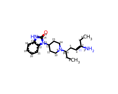 CC/C(N)=C\C[C@@H](CC)N1CCC(n2c(=O)[nH]c3ccccc32)CC1